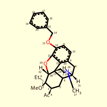 CC[C@@]1(OC)[C@H](C(C)=O)C[C@@H]2[C@H]3Cc4ccc(OCc5ccccc5)c5c4[C@@]2(CCN3C)[C@H]1O5